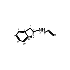 C=CCNC1Cc2ccccc2O1